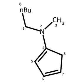 CCCCCN(C)C1=CC=CC1